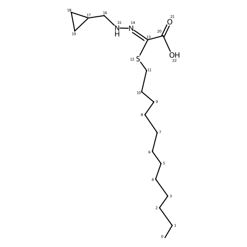 CCCCCCCCCCCCSC(=NNCC1CC1)C(=O)O